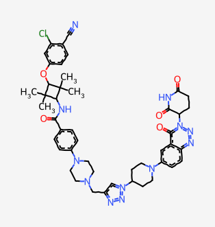 CC1(C)C(NC(=O)c2ccc(N3CCN(Cc4cn(C5CCN(c6ccc7nnn(C8CCC(=O)NC8=O)c(=O)c7c6)CC5)nn4)CC3)cc2)C(C)(C)C1Oc1ccc(C#N)c(Cl)c1